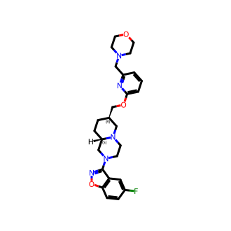 Fc1ccc2onc(N3CCN4C[C@H](COc5cccc(CN6CCOCC6)n5)CC[C@H]4C3)c2c1